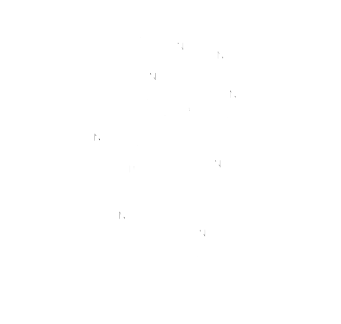 c1ccc(N(c2ccccc2)c2ccc3c(c2)N(c2ccccc2)c2cccc4c2B3c2cc3c(cc2N4c2ccccc2)N(c2ccccc2)c2ncnc4c2B3c2cnccc2N4c2ccccc2)cc1